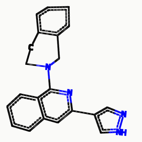 c1ccc2c(c1)CCN(c1nc(-c3cn[nH]c3)cc3ccccc13)C2